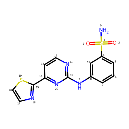 NS(=O)(=O)c1cccc(Nc2nccc(-c3nccs3)n2)c1